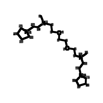 CN(CCOCCOCCN(C)CCN1CCCC1)CCN1CCCC1